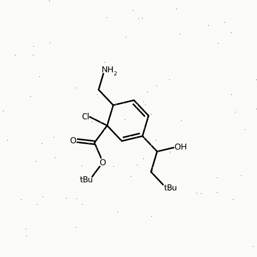 CC(C)(C)CC(O)C1=CC(Cl)(C(=O)OC(C)(C)C)C(CN)C=C1